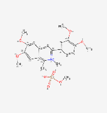 COS(=O)(=O)[O-].COc1ccc(-c2cc3cc(OC)c(OC)cc3c(C)[n+]2C)cc1OC